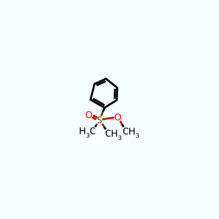 COS(C)(C)(=O)c1ccccc1